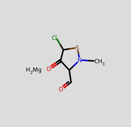 CN1SC(Cl)C(=O)C1C=O.[MgH2]